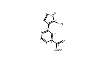 COC(=O)c1cccc(-c2ccoc2C#N)c1